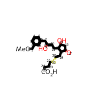 COCc1cccc(C/C(O)=C/CC2C(O)CC(=O)C2CCSCCCC(=O)O)c1